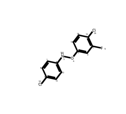 Fc1cc(ONc2ccc(Cl)cc2)ccc1Cl